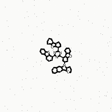 c1ccc2cc3c(cc2c1)c1ccccc1n3-c1cc(-c2nc(-c3cccc4c3oc3ccccc34)nc(-c3cccc4c3sc3ccccc34)n2)c2c(c1)oc1ccccc12